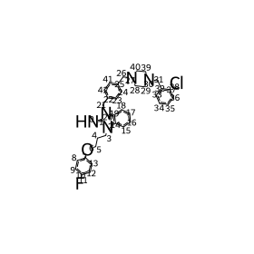 N=c1n(CCCOc2ccc(F)cc2)c2ccccc2n1Cc1ccc(CN2CCN(Cc3ccccc3Cl)CC2)cc1